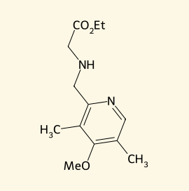 CCOC(=O)CNCc1ncc(C)c(OC)c1C